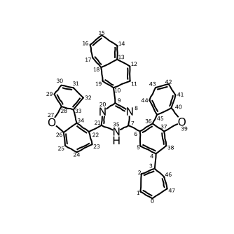 c1ccc(-c2cc(C3N=C(c4ccc5ccccc5c4)N=C(c4cccc5oc6ccccc6c45)N3)c3c(c2)oc2ccccc23)cc1